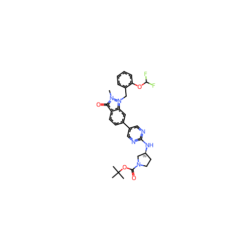 Cn1c(=O)c2ccc(-c3cnc(N[C@H]4CCN(C(=O)OC(C)(C)C)C4)nc3)cc2n1Cc1ccccc1OC(F)F